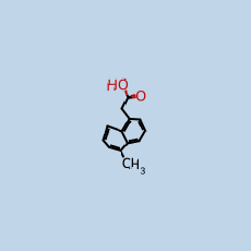 Cc1cccc2c(CC(=O)O)cccc12